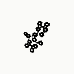 c1ccc(N(c2ccc3c(c2)C(=C2c4ccccc4-c4ccccc42)c2ccccc2-3)c2ccc3c(c2)c2cc(N(c4ccccc4)c4ccc5c(c4)C(=C4c6ccccc6-c6ccccc64)c4ccccc4-5)ccc2n3-c2ccc3ccccc3c2)cc1